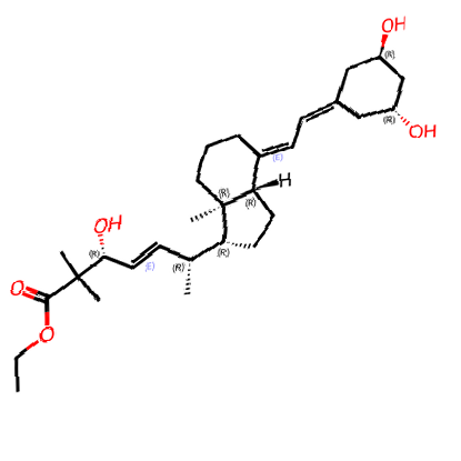 CCOC(=O)C(C)(C)[C@H](O)/C=C/[C@@H](C)[C@H]1CC[C@H]2/C(=C/C=C3C[C@@H](O)C[C@H](O)C3)CCC[C@]12C